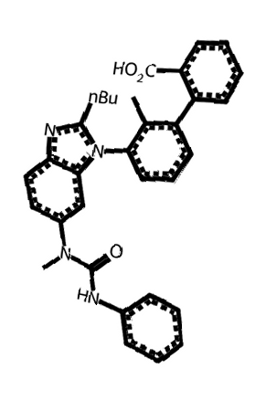 CCCCc1nc2ccc(N(C)C(=O)Nc3ccccc3)cc2n1-c1cccc(-c2ccccc2C(=O)O)c1C